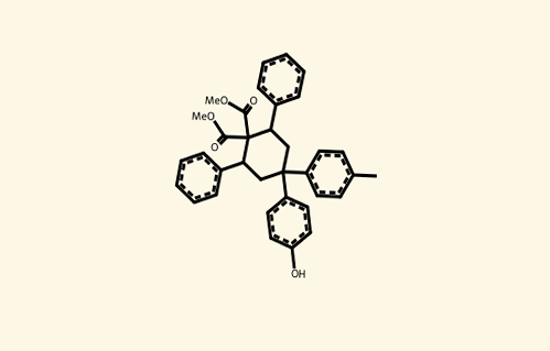 COC(=O)C1(C(=O)OC)C(c2ccccc2)CC(c2ccc(C)cc2)(c2ccc(O)cc2)CC1c1ccccc1